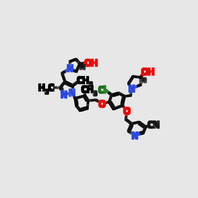 Cc1nn(-c2cccc(COc3cc(OCc4cncc(C#N)c4)c(CN4CC[C@@H](O)C4)cc3Cl)c2C)c(C)c1CN1CC[C@@H](O)C1